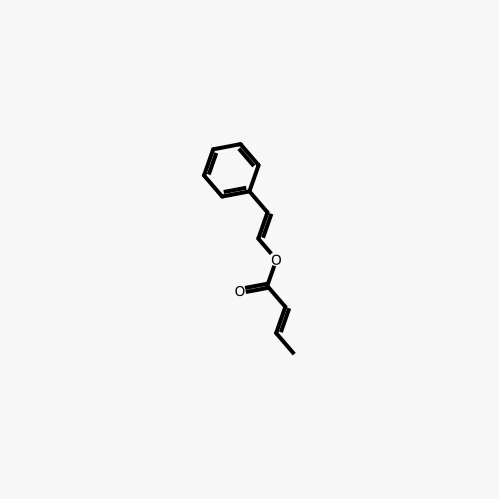 CC=CC(=O)OC=Cc1ccccc1